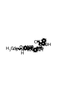 CCSSCCC(=O)Nc1ccc2[nH]c(C(=O)Nc3ccc4[nH]c(C(=O)N5CC(CCl)c6c5cc(O)c5ccccc65)cc4c3)cc2c1